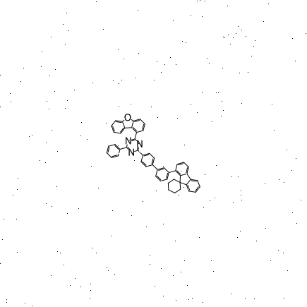 c1ccc(-c2nc(-c3ccc(-c4cccc(-c5cccc6c5C5(CCCCC5)c5ccccc5-6)c4)cc3)nc(-c3cccc4oc5ccccc5c34)n2)cc1